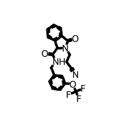 N#CCCN1C(=O)c2ccccc2C1C(=O)NCc1cccc(OC(F)(F)F)c1